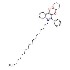 CCCCCCCCCCCCCCCCCCn1c(-c2ccccc2)c(OC2CCCCO2)c(=O)c2ccccc21